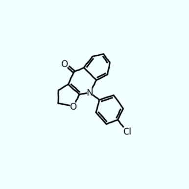 O=c1c2c(n(-c3ccc(Cl)cc3)c3ccccc13)OCC2